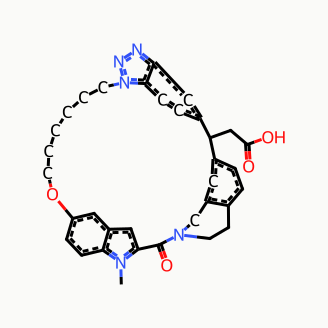 Cn1c2cc3cc(ccc31)OCCCCCCn1nnc3cc(ccc31)C(CC(=O)O)c1ccc3c(c1)CN(CC3)C2=O